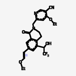 CCO/C=C/c1cc2c(c(C(O)C(F)(F)F)c1)CCN(Cc1cc(OCC)c(C#N)cn1)C2=O